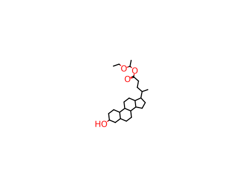 CCOC(C)OC(=O)CCC(C)C1CCC2C1CCC1C3CCC(O)CC3CCC12